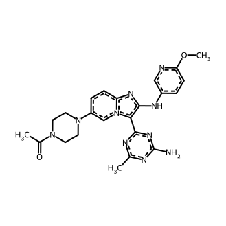 COc1ccc(Nc2nc3ccc(N4CCN(C(C)=O)CC4)cn3c2-c2nc(C)nc(N)n2)cn1